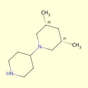 C[C@@H]1C[C@H](C)CN(C2CCNCC2)C1